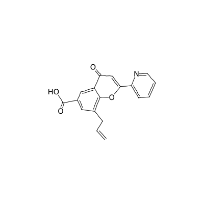 C=CCc1cc(C(=O)O)cc2c(=O)cc(-c3ccccn3)oc12